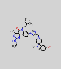 CCNc1ncc(C(=O)N(CCC(C)CC)c2cccc(N3C=NC(CN4CCC(c5cccc(O)c5)(N(C)C)CC4)C3)c2)c(C)n1